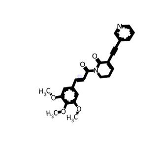 COc1cc(/C=C/C(=O)N2CCC=C(C#Cc3cccnc3)C2=O)cc(OC)c1OC